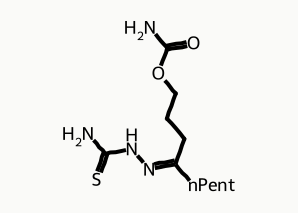 CCCCCC(CCCOC(N)=O)=NNC(N)=S